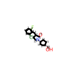 O=C1C(Cc2c(F)cccc2Cl)CCN1[C@H]1CC[C@@H](CO)CC1